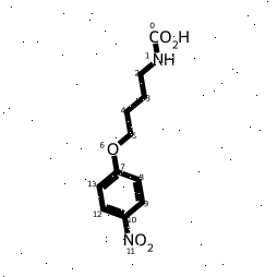 O=C(O)NCCCCOc1ccc([N+](=O)[O-])cc1